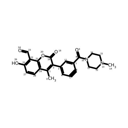 Cc1c(-c2cc#cc(C(=O)N3CCN(C)CC3)c2)c(=O)oc2c(C=O)c(O)ccc12